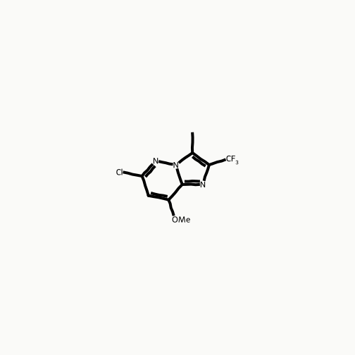 COc1cc(Cl)nn2c(C)c(C(F)(F)F)nc12